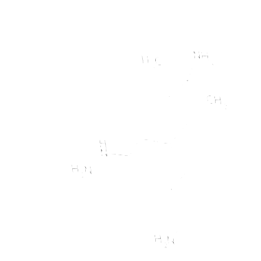 CC(C)(N)CCC(CCCN)CCNN